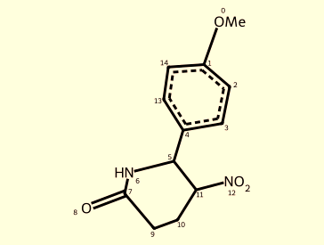 COc1ccc(C2NC(=O)CCC2[N+](=O)[O-])cc1